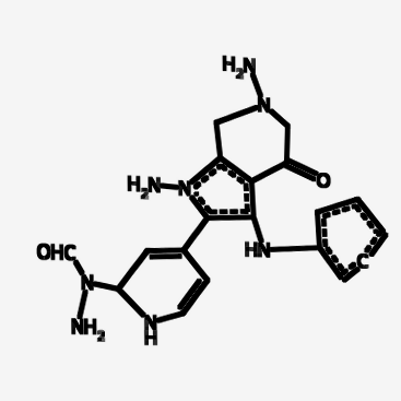 NN1CC(=O)c2c(Nc3ccccc3)c(C3=CC(N(N)C=O)NC=C3)n(N)c2C1